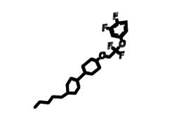 CCCCCC1CCC(C2CCC(OCC(F)(F)Oc3ccc(F)c(F)c3)CC2)CC1